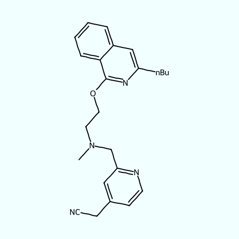 CCCCc1cc2ccccc2c(OCCN(C)Cc2cc(CC#N)ccn2)n1